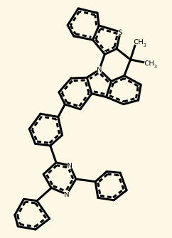 CC1(C)c2sc3ccccc3c2-n2c3ccc(-c4cccc(-c5cc(-c6ccccc6)nc(-c6ccccc6)n5)c4)cc3c3cccc1c32